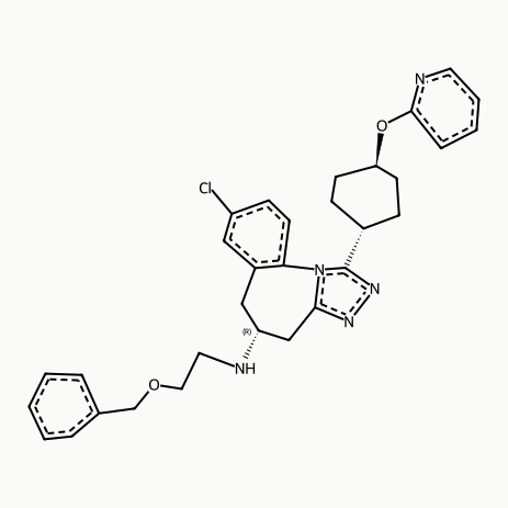 Clc1ccc2c(c1)C[C@@H](NCCOCc1ccccc1)Cc1nnc([C@H]3CC[C@H](Oc4ccccn4)CC3)n1-2